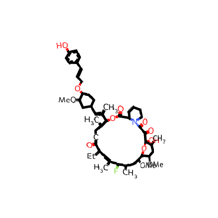 CCC1/C=C(\C)C(F)C(C)CC(OC)C2OC(O)(C(=O)C(=O)N3CCCCC3C(=O)OC(C(C)=CC3CCC(OCC=Cc4ccc(O)cc4)C(OC)C3)C(C)CCC1=O)C(C)CC2OC